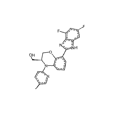 Cc1ccc(N2c3cccc(-c4nc5c(F)cc(F)cc5[nH]4)c3OC[C@@H]2CO)nc1